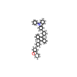 C1=CC2Oc3ccc(-c4ccc(-c5c6ccccc6c(-c6cccc(-c7ccc8c(c7)c7ccccc7n8-c7ccccc7)c6)c6ccccc56)cc4)cc3C2C=C1